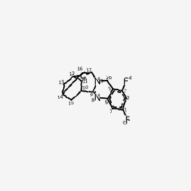 Fc1cc(F)c2c(c1)N=C1C3CC4CC(C3)CC(C4)N1C2